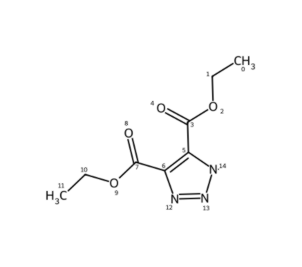 CCOC(=O)C1=C(C(=O)OCC)N=N[N]1